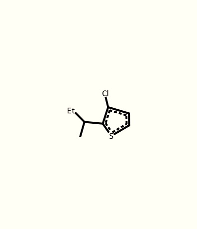 CCC(C)c1sccc1Cl